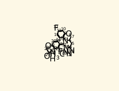 Cn1nnc(CC2COc3cc(F)ccc3N2Cc2ccc3c(c2F)NC(=O)CO3)n1